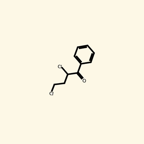 O=C(c1ccccc1)C(Cl)CCCl